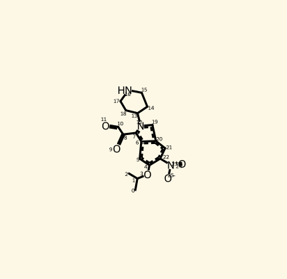 CC(C)Oc1cc2c(C(=O)C=O)n(C3CCNCC3)cc2cc1[N+](=O)[O-]